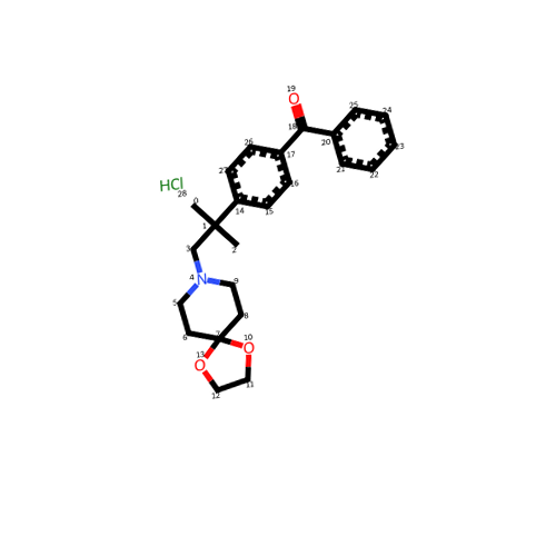 CC(C)(CN1CCC2(CC1)OCCO2)c1ccc(C(=O)c2ccccc2)cc1.Cl